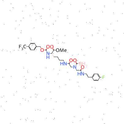 BC(=O)N(CC(=O)NCCCC[C@H](NC(=O)OCc1ccc(C(F)(F)F)cc1)C(=O)OC)CC(=O)NCCc1ccc(F)cc1